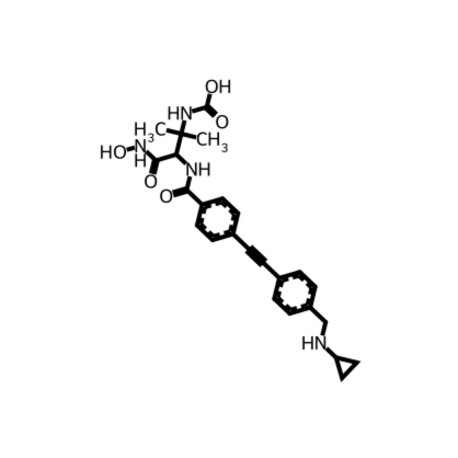 CC(C)(NC(=O)O)C(NC(=O)c1ccc(C#Cc2ccc(CNC3CC3)cc2)cc1)C(=O)NO